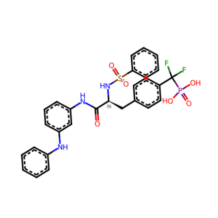 O=C(Nc1cccc(Nc2ccccc2)c1)[C@H](Cc1ccc(C(F)(F)P(=O)(O)O)cc1)NS(=O)(=O)c1ccccc1